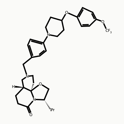 CC(C)[C@H]1CO[C@]23CCN(Cc4ccc(N5CCC(Oc6ccc(OC(F)(F)F)cc6)CC5)cc4)C[C@H]2CCC(=O)N13